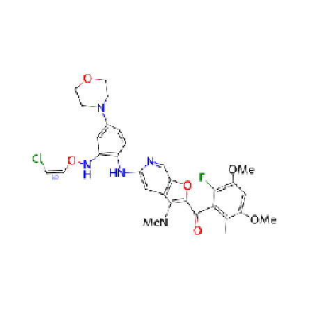 CNc1c(C(=O)c2c(C)c(OC)cc(OC)c2F)oc2cnc(Nc3ccc(N4CCOCC4)cc3NO/C=C\Cl)cc12